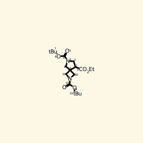 CCOC(=O)C1CN(C(=O)OC(C)(C)C)CC12CN(C(=O)OC(C)(C)C)C2